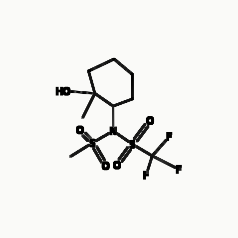 CC1(O)CCCCC1N(S(C)(=O)=O)S(=O)(=O)C(F)(F)F